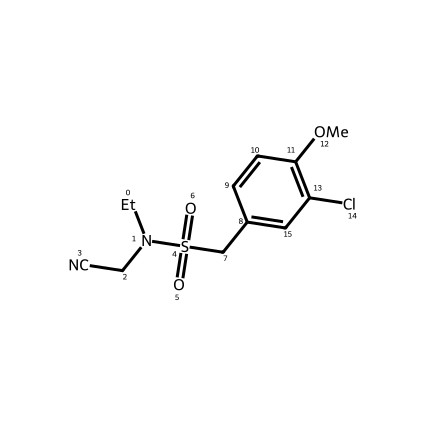 CCN(CC#N)S(=O)(=O)Cc1ccc(OC)c(Cl)c1